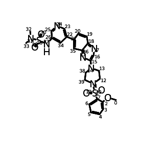 COc1ccccc1S(=O)(=O)N1CCN(c2cnc3ccc(-c4cncc(NS(=O)(=O)N(C)C)c4)cc3n2)CC1